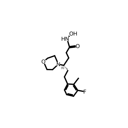 Cc1c(F)cccc1CC[C@@H](CCC(=O)NO)N1CCOCC1